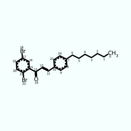 CCCCCCCc1ccc(C=CC(=O)c2cc(Br)ccc2Br)cc1